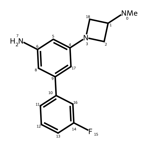 CNC1CN(c2cc(N)cc(-c3cccc(F)c3)c2)C1